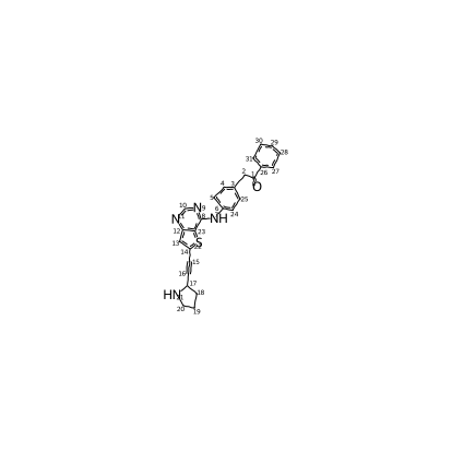 O=C(Cc1ccc(Nc2ncnc3cc(C#CC4CCCN4)sc23)cc1)c1ccccc1